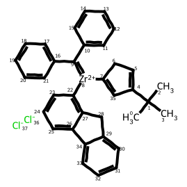 CC(C)(C)C1=CC[C]([Zr+2](=[C](c2ccccc2)c2ccccc2)[c]2cccc3c2Cc2ccccc2-3)=C1.[Cl-].[Cl-]